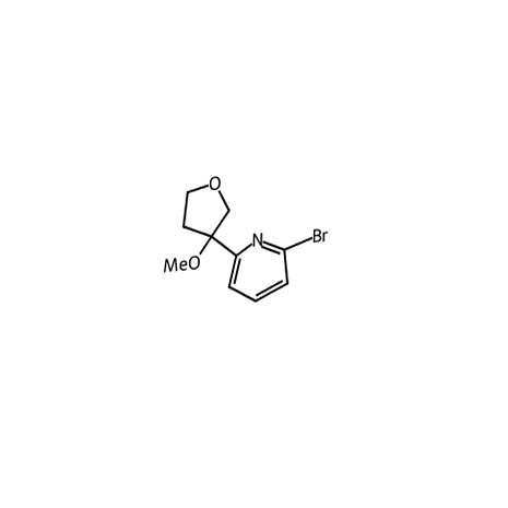 COC1(c2cccc(Br)n2)CCOC1